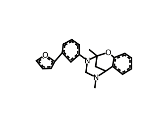 CN1CN(c2cccc(-c3ccco3)c2)C2(C)CC1c1ccccc1O2